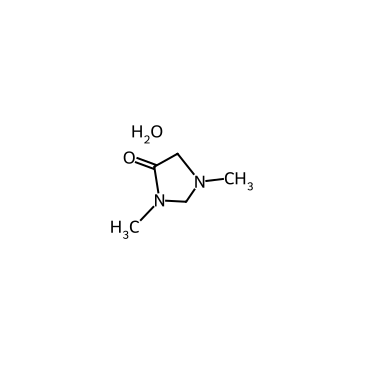 CN1CC(=O)N(C)C1.O